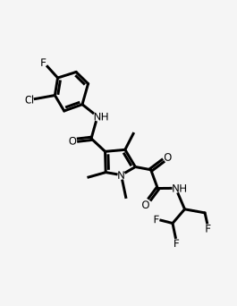 Cc1c(C(=O)Nc2ccc(F)c(Cl)c2)c(C)n(C)c1C(=O)C(=O)NC(CF)C(F)F